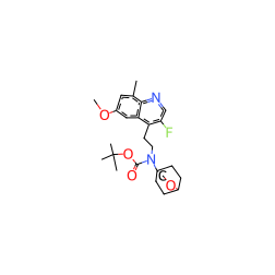 COc1cc(C)c2ncc(F)c(CCN(C(=O)OC(C)(C)C)C34CCC(CC3)OC4)c2c1